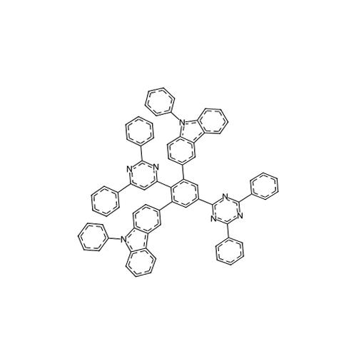 c1ccc(-c2cc(-c3c(-c4ccc5c(c4)c4ccccc4n5-c4ccccc4)cc(-c4nc(-c5ccccc5)nc(-c5ccccc5)n4)cc3-c3ccc4c(c3)c3ccccc3n4-c3ccccc3)nc(-c3ccccc3)n2)cc1